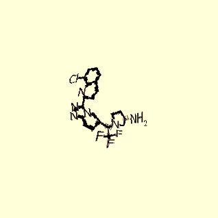 N[C@H]1CCN([C@H](c2ccc3nnc(-c4ccc5cccc(Cl)c5n4)n3c2)C(F)(F)F)C1